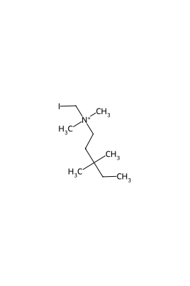 CCC(C)(C)CC[N+](C)(C)CI